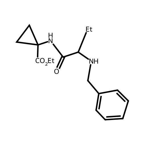 CCOC(=O)C1(NC(=O)C(CC)NCc2ccccc2)CC1